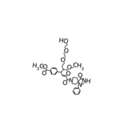 CCOC1OC(C(=O)N2CCC3(CC2)C(=O)NCN3c2ccccc2)=CC(c2ccc(C(=O)OC)cc2)C1CCOCCOCCO